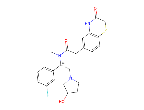 CN(C(=O)Cc1ccc2c(c1)NC(=O)CS2)[C@H](CN1CCC(O)C1)c1cccc(F)c1